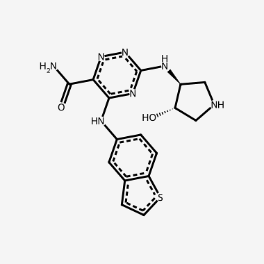 NC(=O)c1nnc(N[C@H]2CNC[C@@H]2O)nc1Nc1ccc2sccc2c1